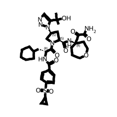 CC(C)(O)c1cnnn1[C@H]1C[C@@H](C(=O)N[C@]2(C(=O)C(N)=O)CCCOCC2)N(C(=O)[C@@H](CC2CCCCC2)NC(=O)c2ccc(S(=O)(=O)C3CC3)cc2)C1